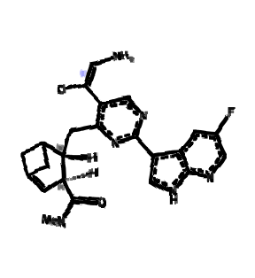 CNC(=O)[C@H]1C=C2CC(C2)[C@@H]1Cc1nc(-c2c[nH]c3ncc(F)cc23)ncc1/C(Cl)=C\N